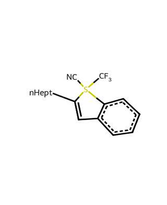 CCCCCCCC1=Cc2ccccc2S1(C#N)C(F)(F)F